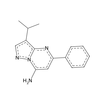 CC(C)c1cnn2c(N)cc(-c3ccccc3)nc12